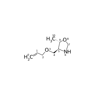 C=CCOC[C@@H]1NCO[C@H]1C